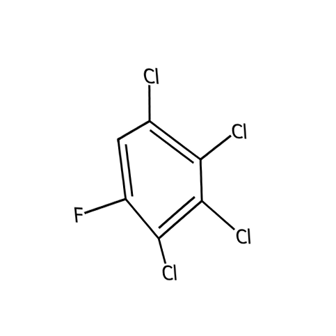 Fc1cc(Cl)c(Cl)c(Cl)c1Cl